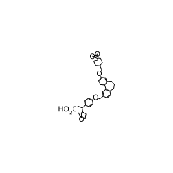 O=C(O)CC(c1ccc(OCc2ccc3c(c2)-c2ccc(OCC4CCS(=O)(=O)CC4)cc2CCC3)cc1)c1ccon1